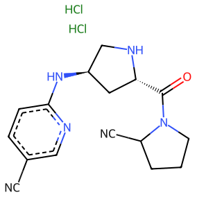 Cl.Cl.N#Cc1ccc(N[C@H]2CN[C@H](C(=O)N3CCCC3C#N)C2)nc1